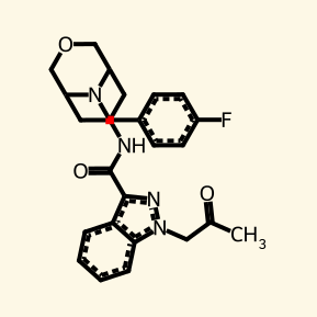 CC(=O)Cn1nc(C(=O)NC2CC3COCC(C2)N3Cc2ccc(F)cc2)c2ccccc21